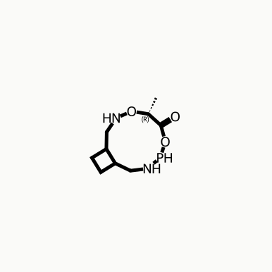 C[C@H]1ONCC2CCC2CNPOC1=O